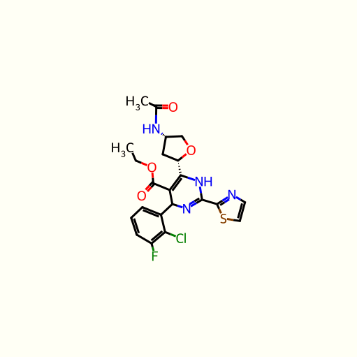 CCOC(=O)C1=C([C@@H]2C[C@H](NC(C)=O)CO2)NC(c2nccs2)=NC1c1cccc(F)c1Cl